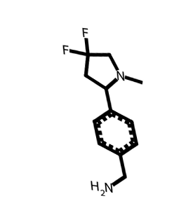 CN1CC(F)(F)CC1c1ccc(CN)cc1